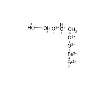 O.O.OO.[Fe+3].[Fe+3].[O-2].[O-2].[O-2]